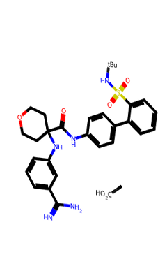 CC(=O)O.CC(C)(C)NS(=O)(=O)c1ccccc1-c1ccc(NC(=O)C2(Nc3cccc(C(=N)N)c3)CCOCC2)cc1